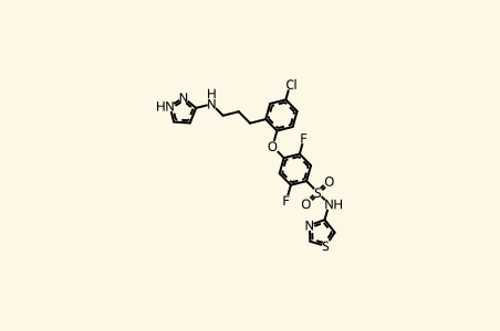 O=S(=O)(Nc1cscn1)c1cc(F)c(Oc2ccc(Cl)cc2CCCNc2cc[nH]n2)cc1F